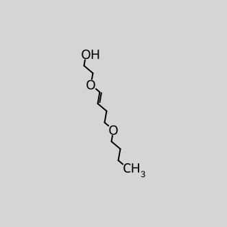 CCCCOCC/C=C/OCCO